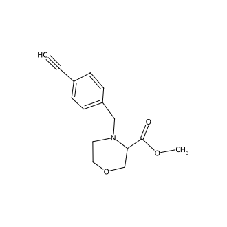 C#Cc1ccc(CN2CCOCC2C(=O)OC)cc1